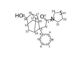 O=C(CC1(c2ccccc2)C2CC3CC1CC(C2)C3O)N1CCSC1